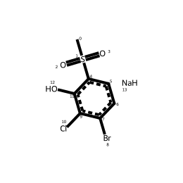 CS(=O)(=O)c1ccc(Br)c(Cl)c1O.[NaH]